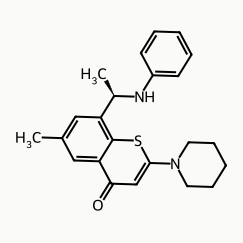 Cc1cc([C@@H](C)Nc2ccccc2)c2sc(N3CCCCC3)cc(=O)c2c1